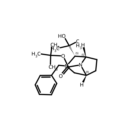 CC(C)(C)OC(=O)N1[C@@H]2CC[C@H]1[C@@H](C(C)(C)O)N(Cc1ccccc1)C2